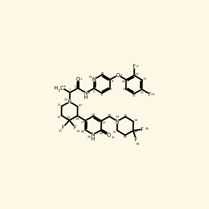 CC(C(=O)Nc1ccc(Oc2ccc(F)cc2F)cn1)N1CCC(F)(F)C(c2c[nH]c(=O)c(CN3CCC(F)(F)CC3)c2)C1